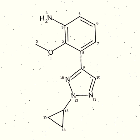 COc1c(N)cccc1-c1cnn(C2CC2)n1